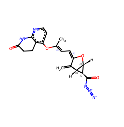 C=C1/C(=C\C=C(/C)Oc2ccnc3c2CCC(=O)N3)O[C@H]2[C@@H]1[C@@H]2C(=O)N=[N+]=[N-]